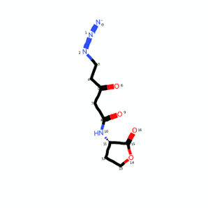 [N-]=[N+]=NCCC(=O)CC(=O)N[C@H]1CCOC1=O